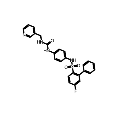 O=C(NCc1cccnc1)Nc1ccc(NS(=O)(=O)c2ccc(F)cc2-c2ccccc2)cc1